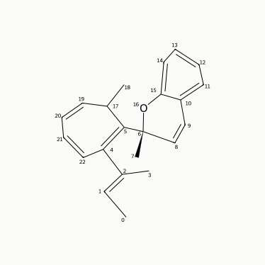 C/C=C(\C)C1=C([C@@]2(C)C=Cc3ccccc3O2)C(C)C=CC=C1